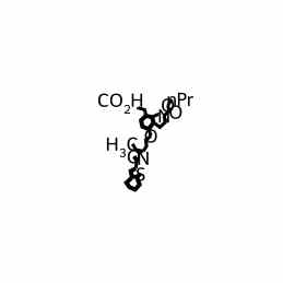 CCCOC(=O)N1CCc2c(OCCc3nc(-c4cc5ccccc5s4)oc3C)ccc(CCC(=O)O)c2C1